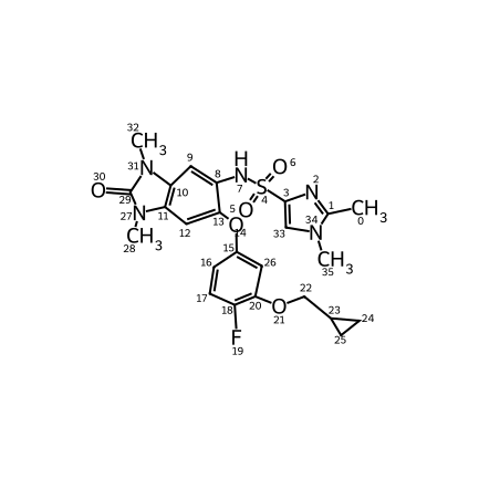 Cc1nc(S(=O)(=O)Nc2cc3c(cc2Oc2ccc(F)c(OCC4CC4)c2)n(C)c(=O)n3C)cn1C